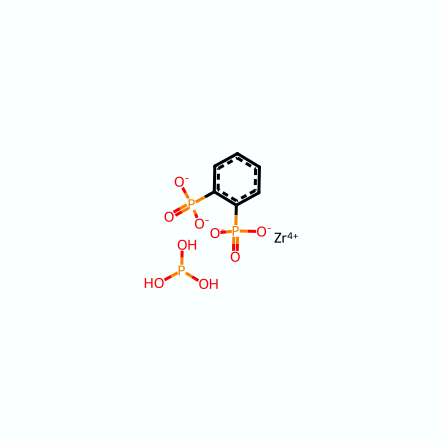 O=P([O-])([O-])c1ccccc1P(=O)([O-])[O-].OP(O)O.[Zr+4]